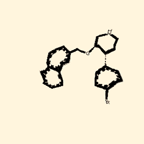 Brc1ccc([C@H]2CCNC[C@@H]2OCc2ccc3ccccc3c2)cc1